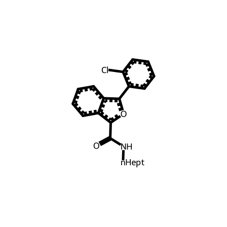 CCCCCCCNC(=O)c1oc(-c2ccccc2Cl)c2ccccc12